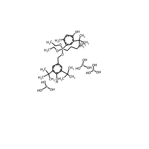 CCCCP(OCC)(OCC)(OCc1cc(C(C)(C)C)c(O)c(C(C)(C)C)c1)c1cc(C(C)(C)C)c(O)cc1C.OP(O)O.OP(O)O.OP(O)O